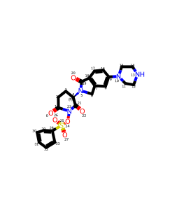 O=C1CC[C@@H](N2Cc3cc(N4CCNCC4)ccc3C2=O)C(=O)N1OS(=O)(=O)c1ccccc1